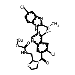 C[C@H](Nc1ncnc2cc(C(=O)N3CCSC3CNC(=O)OC(C)(C)C)c(Cl)cc12)c1nc2cc(Cl)ccc2[nH]1